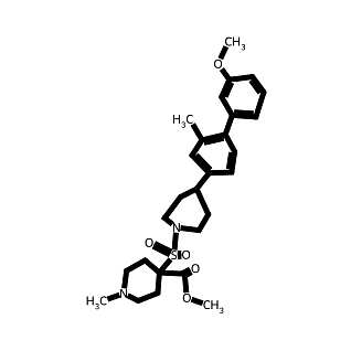 COC(=O)C1(S(=O)(=O)N2CCC(c3ccc(-c4cccc(OC)c4)c(C)c3)CC2)CCN(C)CC1